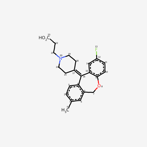 Cc1ccc2c(c1)COc1ccc(F)cc1C2=C1CCN(CCC(=O)O)CC1